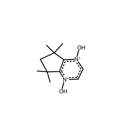 CC1(C)CC(C)(C)c2c1[n+](O)cc[n+]2O